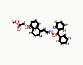 COC(=O)COc1cccc2c1CCCC2=CC=NOC(c1ccccc1)c1ccccc1